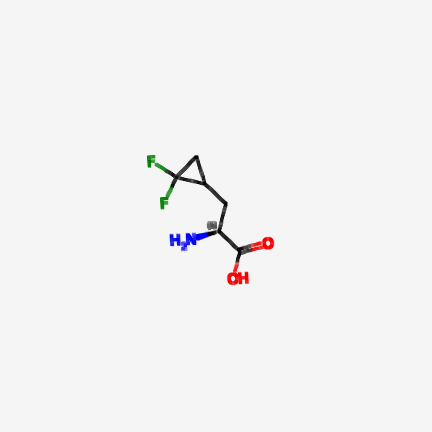 N[C@@H](CC1CC1(F)F)C(=O)O